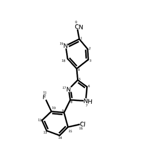 N#Cc1ccc(-c2c[nH]c(-c3c(F)cccc3Cl)n2)cn1